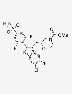 COC(=O)N1CCO[C@@H](Cc2c(-c3c(F)cc(S(N)(=O)=O)cc3F)nc3cc(Cl)c(F)cn23)C1